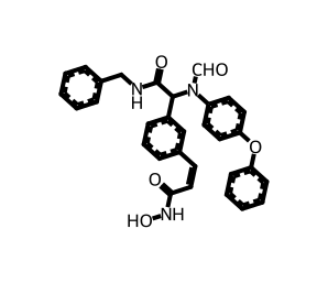 O=CN(c1ccc(Oc2ccccc2)cc1)C(C(=O)NCc1ccccc1)c1cccc(C=CC(=O)NO)c1